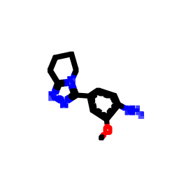 COc1cc(-c2nnc3n2CCCC3)ccc1N